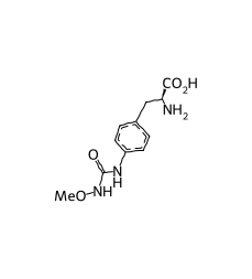 CONC(=O)Nc1ccc(C[C@H](N)C(=O)O)cc1